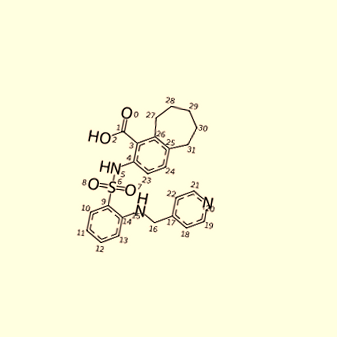 O=C(O)c1c(NS(=O)(=O)c2ccccc2NCc2ccncc2)ccc2c1CCCCC2